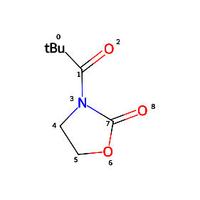 CC(C)(C)C(=O)N1CCOC1=O